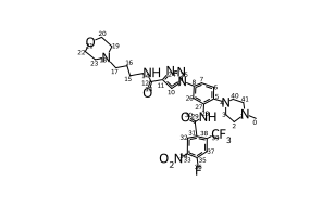 CN1CCN(c2ccc(-n3cc(C(=O)NCCCN4CCOCC4)nn3)cc2NC(=O)c2cc([N+](=O)[O-])c(F)cc2C(F)(F)F)CC1